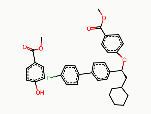 COC(=O)c1ccc(O)cc1.COC(=O)c1ccc(O[C@@H](CC2CCCCC2)c2ccc(-c3ccc(F)cc3)cc2)cc1